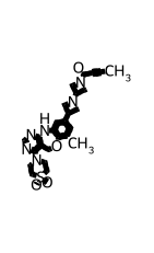 CC#CC(=O)N1CC(N2CC(c3cc(C)c4c(c3)Nc3ncnc(N5CCS(=O)(=O)CC5)c3CO4)C2)C1